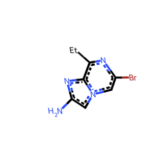 CCc1nc(Br)cn2cc(N)nc12